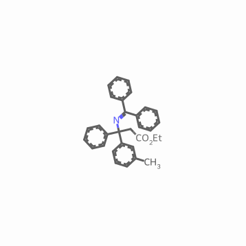 CCOC(=O)CC(N=C(c1ccccc1)c1ccccc1)(c1ccccc1)c1cccc(C)c1